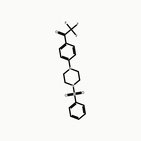 O=C(c1ccc(N2CCN(S(=O)(=O)c3ccccc3)CC2)cc1)C(F)(F)F